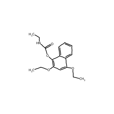 CCNC(=O)Oc1c(OCC)cc(OCC)c2ccccc12